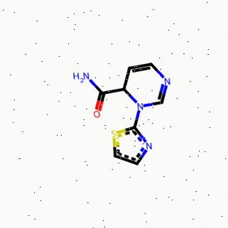 NC(=O)C1C=CN=CN1c1nccs1